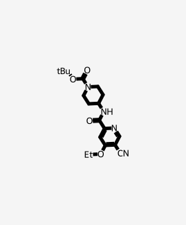 CCOc1cc(C(=O)NC2CCN(C(=O)OC(C)(C)C)CC2)ncc1C#N